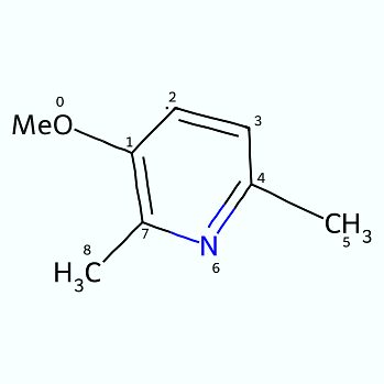 COc1[c]cc(C)nc1C